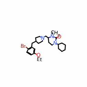 CCOc1ccc(Br)c(CC2CCN(CC3CCN(C4CCCCC4)C(=O)N3C)CC2)c1